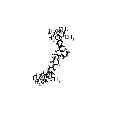 CC1=NC(C)(C)C(C)(C)N1c1ccc(-c2cc3oc4cc(-c5ccc(N6C(C)=NC(C)(C)C6(C)C)nc5)ccc4c3c3ccccc23)nc1